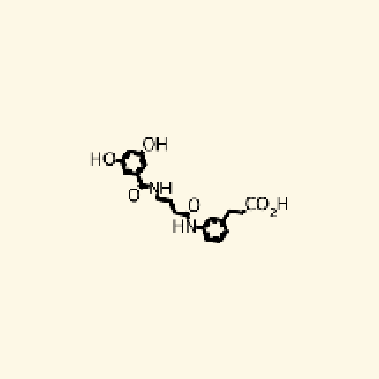 O=C(O)CCc1cccc(NC(=O)CCCNC(=O)c2cc(O)cc(O)c2)c1